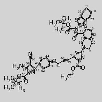 CCOC(=O)c1nc(N2CCc3cccc(C(=O)N(C(=O)OC(C)(C)C)c4nc5ccccc5s4)c3C2)sc1C#CCOc1ccc(-c2nn(C(=O)OC(C)(C)C)c(N)c2C#N)cc1